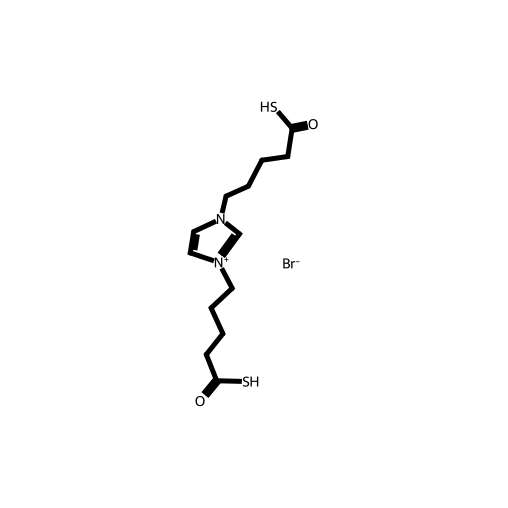 O=C(S)CCCCn1cc[n+](CCCCC(=O)S)c1.[Br-]